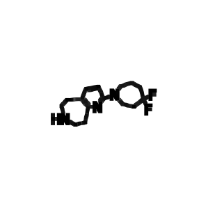 FC1(F)CCCN(c2ccc3c(n2)CCNCC3)CC1